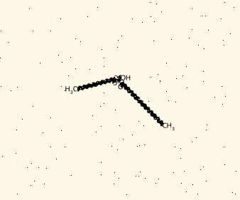 CCCCCCCC/C=C/CCCCCCCC(=O)OC(CO)COC(=O)CCCCCCC/C=C/CCCCCCCCCCCCCCCC